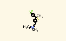 C=CCN(C)CCCc1ccc2c(-c3ccc(C(F)(F)F)cc3)c(C)sc2c1